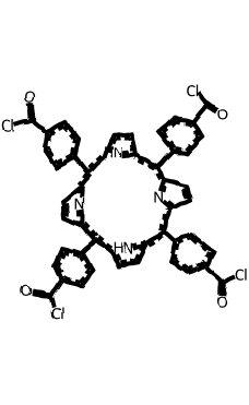 O=C(Cl)c1ccc(-c2c3nc(c(-c4ccc(C(=O)Cl)cc4)c4ccc([nH]4)c(-c4ccc(C(=O)Cl)cc4)c4nc(c(-c5ccc(C(=O)Cl)cc5)c5ccc2[nH]5)C=C4)C=C3)cc1